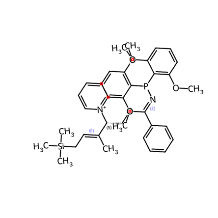 COc1cccc(OC)c1P(/N=C(\OC[C@H](/C(C)=C/C[Si](C)(C)C)[n+]1ccccc1)c1ccccc1)c1c(OC)cccc1OC